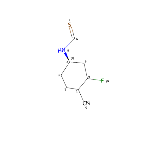 N#CC1CC[C@@H](NC=S)CC1F